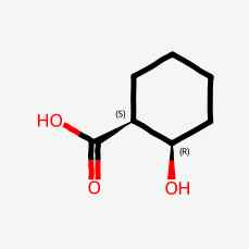 O=C(O)[C@H]1CCCC[C@H]1O